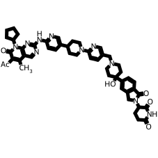 CC(=O)c1c(C)c2cnc(Nc3ccc(C4CCN(c5ccc(CN6CCC(O)(c7ccc8c(c7)CN(C7CCC(=O)NC7=O)C8=O)CC6)cn5)CC4)cn3)nc2n(C2CCCC2)c1=O